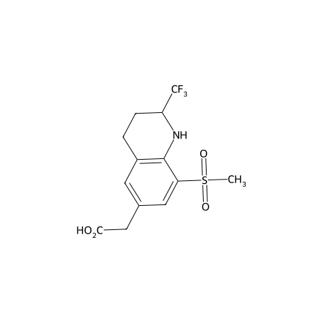 CS(=O)(=O)c1cc(CC(=O)O)cc2c1NC(C(F)(F)F)CC2